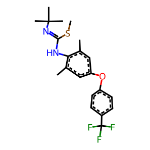 CSC(=NC(C)(C)C)Nc1c(C)cc(Oc2ccc(C(F)(F)F)cc2)cc1C